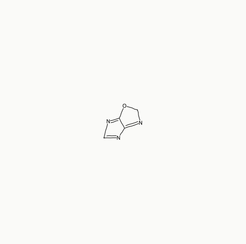 C1=NC2=NCOC2=N1